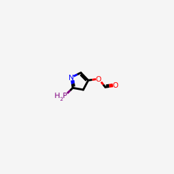 O=COC1=CN=C(P)C1